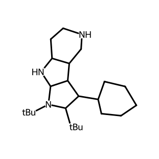 CC(C)(C)C1C(C2CCCCC2)C2C3CNCCC3NC2N1C(C)(C)C